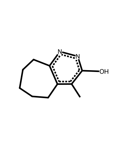 Cc1c(O)nnc2c1CCCCC2